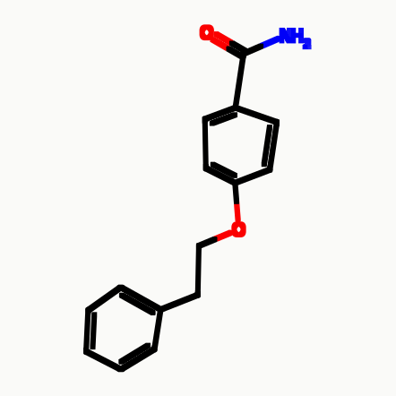 NC(=O)c1ccc(OCCc2ccccc2)cc1